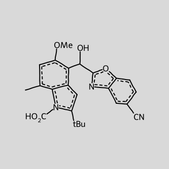 COc1cc(C)c2c(cc(C(C)(C)C)n2C(=O)O)c1C(O)c1nc2cc(C#N)ccc2o1